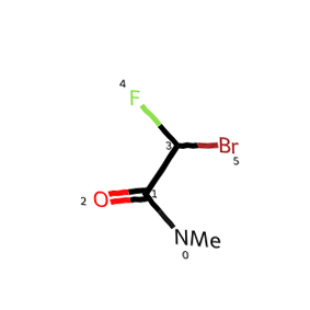 CNC(=O)C(F)Br